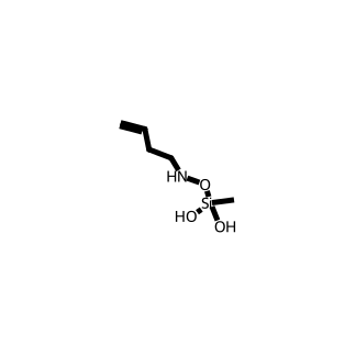 C=CCCNO[Si](C)(O)O